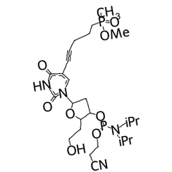 COP(C)(=O)CCCC#Cc1cn(C2CC(OP(OCCC#N)N(C(C)C)C(C)C)C(CCO)O2)c(=O)[nH]c1=O